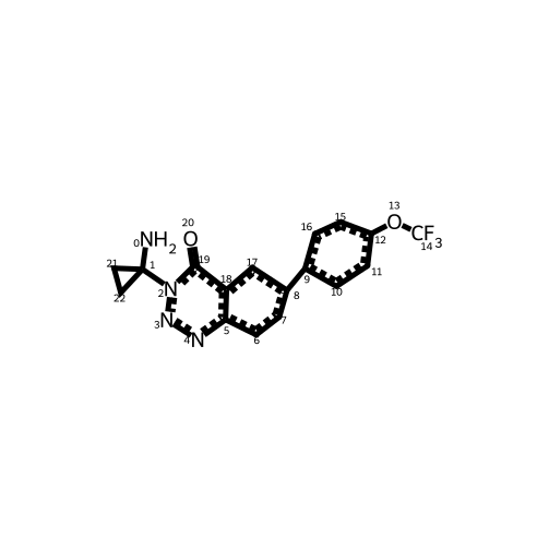 NC1(n2nnc3ccc(-c4ccc(OC(F)(F)F)cc4)cc3c2=O)CC1